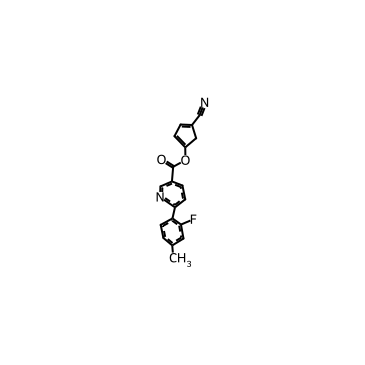 Cc1ccc(-c2ccc(C(=O)OC3=CC=C(C#N)C3)cn2)c(F)c1